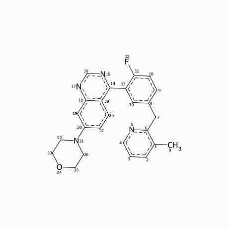 Cc1cccnc1Cc1ccc(F)c(-c2ncnc3cc(N4CCOCC4)ccc23)c1